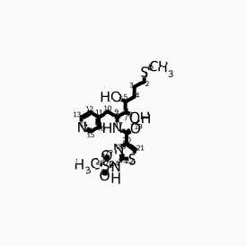 CSCCCC(O)C(O)C(Cc1ccncc1)NC(=O)c1csc(NS(C)(=O)=O)n1